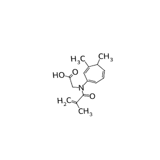 C=C(C)C(=O)N(CC(=O)O)C1=CC=CC(C)C(C)=C1